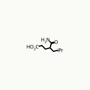 CC(C)CC(CCC(=O)O)C(N)=O